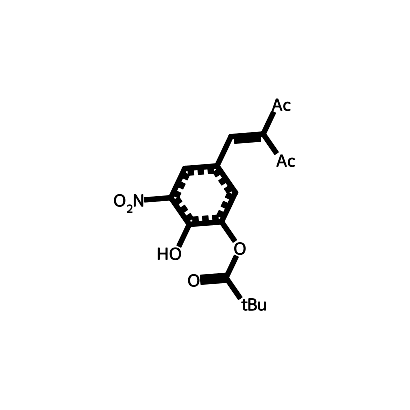 CC(=O)C(=Cc1cc(OC(=O)C(C)(C)C)c(O)c([N+](=O)[O-])c1)C(C)=O